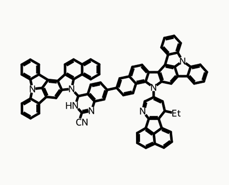 CCC1C=C(n2c3cc4c5ccccc5n5c6ccccc6c(c3c3ccc6cc(-c7ccc8c(c7)N=C(C#N)NC8n7c8cc9c%10ccccc%10n%10c%11ccccc%11c(c8c8ccc%11ccccc%11c87)c9%10)ccc6c32)c45)C=NC2=C1c1cccc3cccc2c13